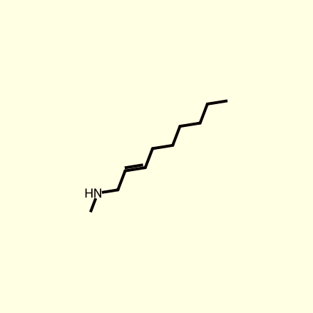 CCCCCC/C=C/CNC